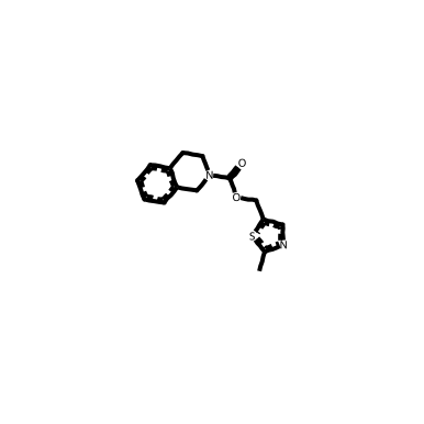 Cc1ncc(COC(=O)N2CCc3ccccc3C2)s1